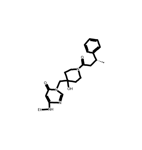 CCNc1cc(=O)n(CC2(O)CCN(C(=O)C[C@@H](C)c3ccccc3)CC2)cn1